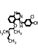 C=CCN(C)C[C@@H](C)Oc1cccc2ncnc(Nc3ccc(O)c(Cl)c3)c12